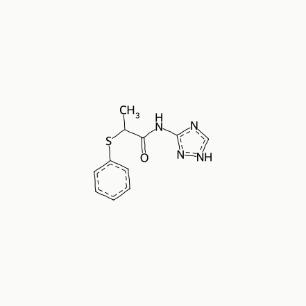 CC(Sc1ccccc1)C(=O)Nc1nc[nH]n1